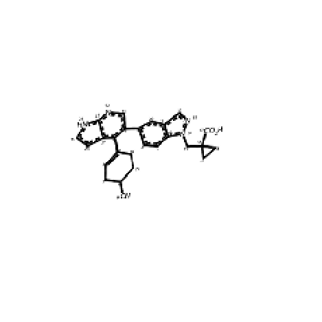 N#CC1CC=C(c2c(-c3ccc4c(cnn4CC4(C(=O)O)CC4)c3)cnc3[nH]ccc23)CC1